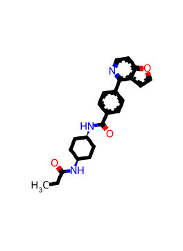 CCC(=O)N[C@H]1CC[C@H](NC(=O)c2ccc(-c3nccc4occc34)cc2)CC1